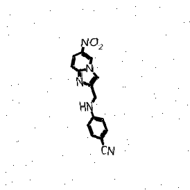 N#Cc1ccc(NCc2cn3cc([N+](=O)[O-])ccc3n2)cc1